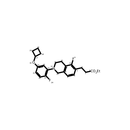 CCOC(=O)CCc1ccc2c(c1F)CCN(c1cc(OC3CCC3)ccc1F)C2